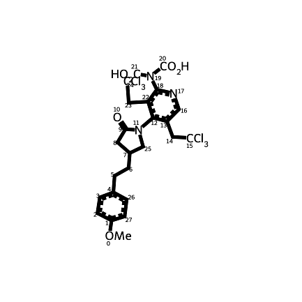 COc1ccc(CCC2CC(=O)N(c3c(CC(Cl)(Cl)Cl)cnc(N(C(=O)O)C(=O)O)c3CC(Cl)(Cl)Cl)C2)cc1